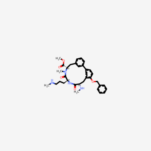 CNCCC[C@@H]1NC(=O)[C@@H](NC)Cc2cc(ccc2OCc2ccccc2)-c2cccc(c2)C[C@@H](C(=O)OC)N(C)C1=O